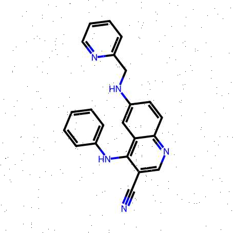 N#Cc1cnc2ccc(NCc3ccccn3)cc2c1Nc1ccccc1